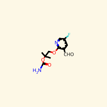 CC(C)(COc1ncc(F)cc1C=O)OC(N)=O